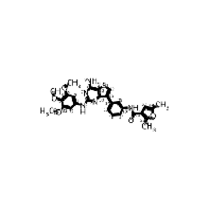 COc1cc(Nc2nc(N)c3scc(-c4cccc(NC(=O)c5cc(C)oc5C)c4)c3n2)cc(OC)c1OC